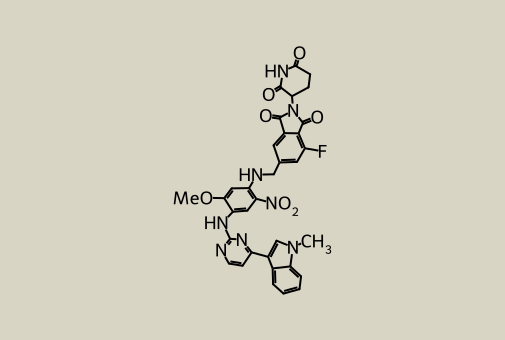 COc1cc(NCc2cc(F)c3c(c2)C(=O)N(C2CCC(=O)NC2=O)C3=O)c([N+](=O)[O-])cc1Nc1nccc(-c2cn(C)c3ccccc23)n1